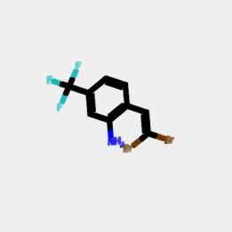 Nc1cc(C(F)(F)F)ccc1C=C(Br)Br